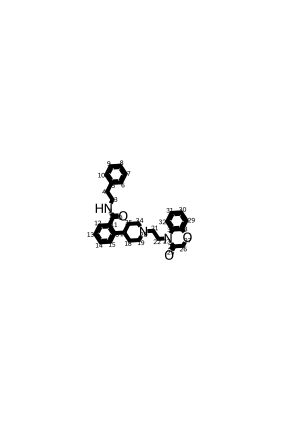 O=C(NCCc1ccccc1)c1ccccc1C1CCN(CCN2C(=O)COc3ccccc32)CC1